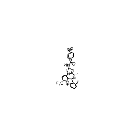 C[C@@H]1N=C(c2c(F)cccc2F)c2c(ccc(C(F)(F)F)c2Cl)-n2nc(NC(=O)N3C=CS(=O)(=O)C=C3)nc21